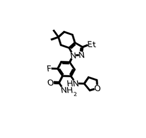 CCc1nn(-c2cc(F)c(C(N)=O)c(NC3CCOC3)c2)c2c1CCC(C)(C)C2